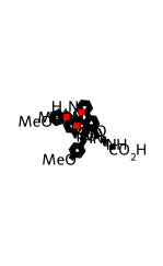 COc1ccc(CN(Cc2ccc(OC)cc2)S(=O)(=O)c2c(S(=O)(=O)NCCNC(=O)O)ccc(-c3cccc(N)c3N)c2-c2nnn(Cc3ccc(OC)cc3)n2)cc1